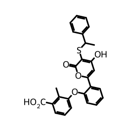 Cc1c(Oc2ccccc2-c2cc(O)c(SC(C)c3ccccc3)c(=O)o2)cccc1C(=O)O